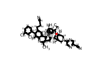 COC(=O)N1[C@@H]2C[C@@H](CN(c3cnc(C#N)cn3)C2)[C@@H]1c1cc2c(C)nc3c(F)c(-c4cccc(Cl)c4Cl)c(CCC#N)cc3c2n1[C@H]1[C@H]2CN[C@@H]1C2